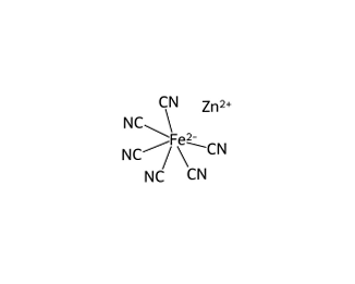 N#[C][Fe-2]([C]#N)([C]#N)([C]#N)([C]#N)[C]#N.[Zn+2]